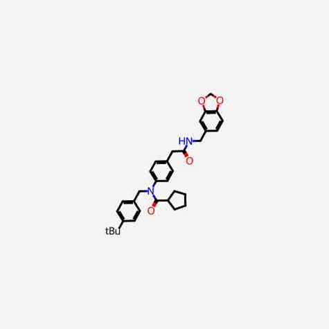 CC(C)(C)c1ccc(CN(C(=O)C2CCCC2)c2ccc(CC(=O)NCc3ccc4c(c3)OCO4)cc2)cc1